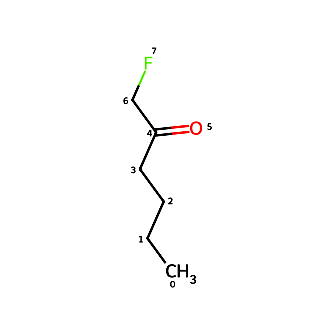 CCCCC(=O)CF